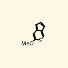 COc1cc2cc[c]c-2cs1